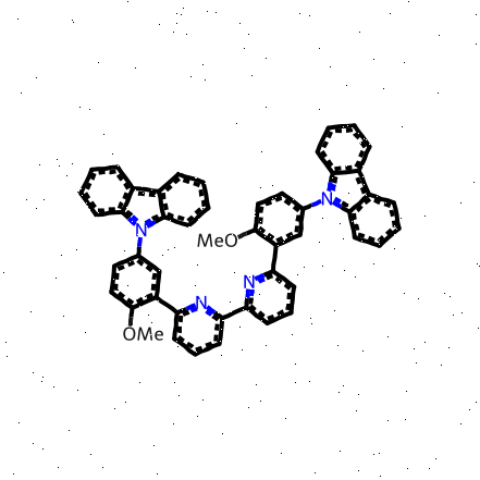 COc1ccc(-n2c3ccccc3c3ccccc32)cc1-c1cccc(-c2cccc(-c3cc(-n4c5ccccc5c5ccccc54)ccc3OC)n2)n1